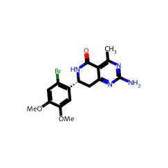 COc1cc(Br)c([C@H]2Cc3nc(N)nc(C)c3C(=O)N2)cc1OC